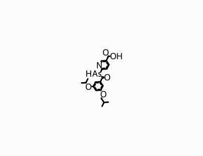 CC(C)COc1cc(OC(C)C)cc(C(=O)[AsH]c2ccc(C(=O)O)cn2)c1